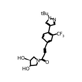 CC(C)(C)n1cc(-c2ccc(C#CC(=O)N3C[C@@H](O)[C@@H](O)C3)cc2C(F)(F)F)cn1